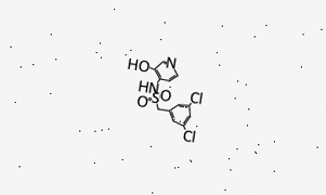 O=S(=O)(Cc1cc(Cl)cc(Cl)c1)Nc1ccncc1O